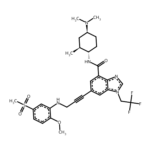 COc1ccc(S(C)(=O)=O)cc1NCC#Cc1cc(C(=O)N[C@H]2CC[C@H](N(C)C)C[C@@H]2C)c2ncn(CC(F)(F)F)c2c1